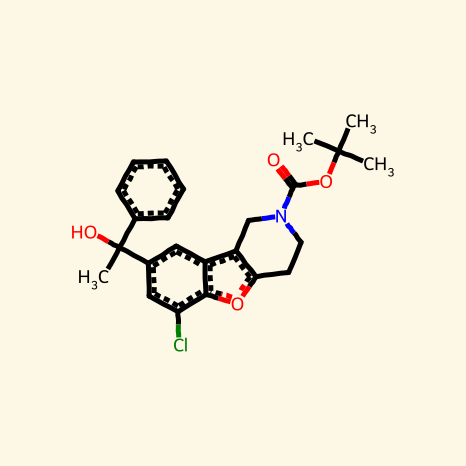 CC(C)(C)OC(=O)N1CCc2oc3c(Cl)cc(C(C)(O)c4ccccc4)cc3c2C1